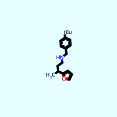 CC(CCNCc1ccc(C(C)(C)C)cc1)c1ccco1